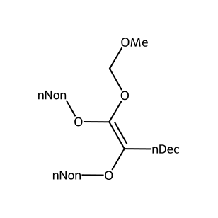 CCCCCCCCCCC(OCCCCCCCCC)=C(OCCCCCCCCC)OCOC